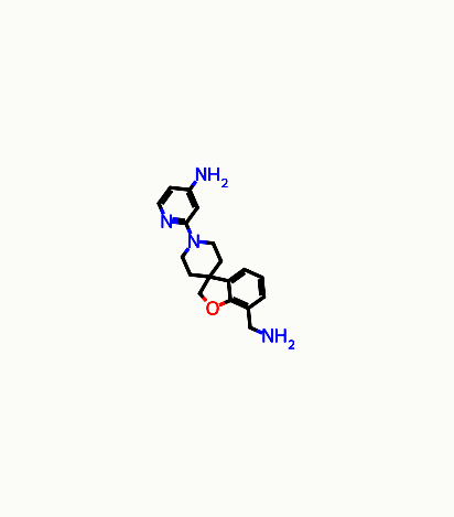 NCc1cccc2c1OCC21CCN(c2cc(N)ccn2)CC1